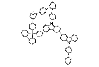 c1ccc(-c2ccc(-n3c4ccccc4c4cc(-c5ccc6c(c5)c5ccccc5n6-c5ccc(-c6ccccc6-c6ccc(-c7cccc(-c8ccc(C9(c%10ccccc%10)c%10ccccc%10-c%10ccccc%109)cc8)c7)cc6)cc5)ccc43)cc2)cc1